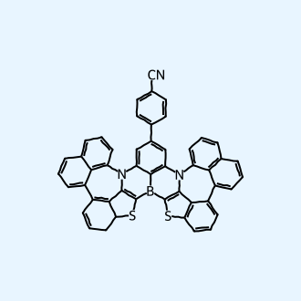 N#Cc1ccc(-c2cc3c4c(c2)-n2c5cccc6cccc(c7cccc8sc(c2c87)B4C2=c4c7c(c8cccc9cccc(c98)n4-3)C=CCC7S2)c65)cc1